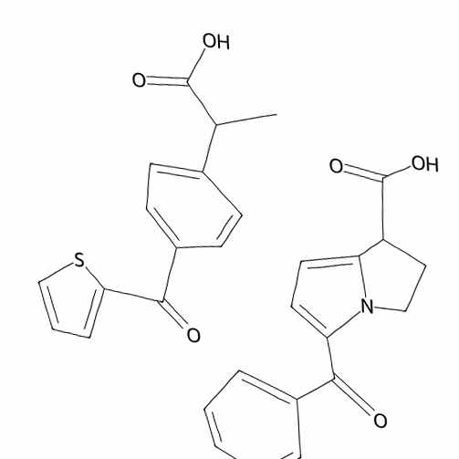 CC(C(=O)O)c1ccc(C(=O)c2cccs2)cc1.O=C(c1ccccc1)c1ccc2n1CCC2C(=O)O